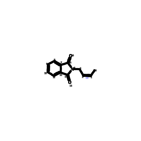 C/C=C\CN1C(=O)c2ccccc2C1=O